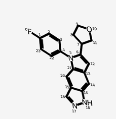 Fc1ccc(-n2c(C3CCOC3)cc3cc4[nH]ncc4cc32)cc1